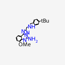 COc1cccc2c1nc(N)n1nc(CNCc3ccc(C(C)(C)C)cc3)nc21